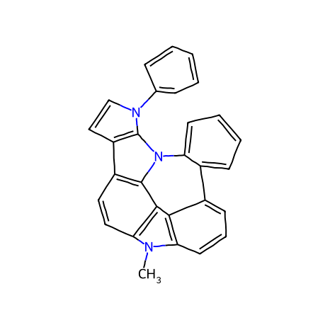 Cn1c2cccc3c4ccccc4n4c5c(ccc1c5c32)c1ccn(-c2ccccc2)c14